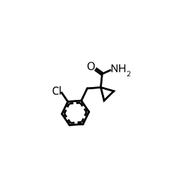 NC(=O)C1(Cc2ccccc2Cl)CC1